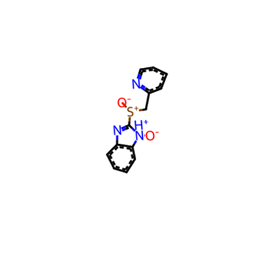 [O-][NH+]1C([S+]([O-])Cc2ccccn2)=Nc2ccccc21